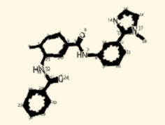 CC1C=CC(C(=O)Nc2cccc(-c3nccn3C)c2)=CC1NC(=O)c1ccccc1